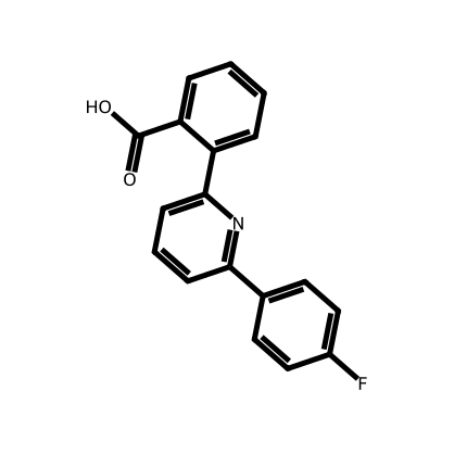 O=C(O)c1ccccc1-c1cccc(-c2ccc(F)cc2)n1